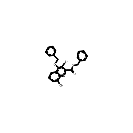 N#Cc1cccc2c(OCc3ccccc3)c(Br)c(C(=O)OCc3ccccc3)nc12